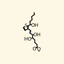 CCCCCC(O)c1sccc1/C=C/C(O)C(O)CCCC(=O)OC